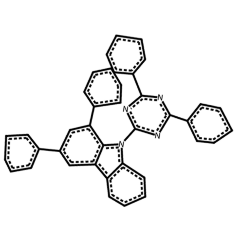 c1ccc(-c2cc(-c3ccccc3)c3c(c2)c2ccccc2n3-c2nc(-c3ccccc3)nc(-c3ccccc3)n2)cc1